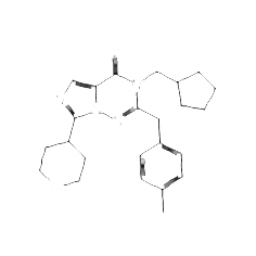 Cc1ccc(Cc2nn3c(C4CCOCC4)ncc3c(=O)n2CC2CCCC2)cc1